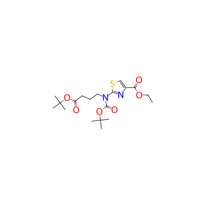 CCOC(=O)c1csc(N(CCCC(=O)OC(C)(C)C)C(=O)OC(C)(C)C)n1